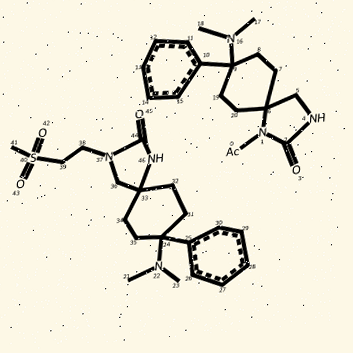 CC(=O)N1C(=O)NCC12CCC(c1ccccc1)(N(C)C)CC2.CN(C)C1(c2ccccc2)CCC2(CC1)CN(CCS(C)(=O)=O)C(=O)N2